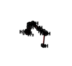 C[C@@H](O)[C@](C=O)(CN)NC[C@@](C=O)(CCCCNC(=O)CC[C@H](NC(=O)CC[C@H](NC(=O)COCCOCCNC(=O)COCCOCCNC(=O)CC[C@H](NC(=O)CCCCCCCCCCCCCCCCC(=O)O)C(=O)O)C(=O)O)C(=O)O)NI